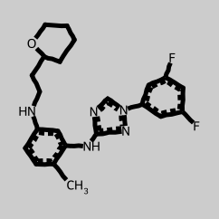 Cc1ccc(NCCC2CCCCO2)cc1Nc1ncn(-c2cc(F)cc(F)c2)n1